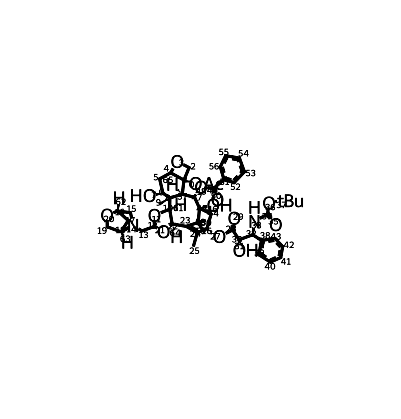 CC(=O)O[C@@]12COC1C[C@H](O)[C@@]1(C)[C@@H]3OC(CN4C[C@@H]5C[C@H]4CO5)O[C@@H]3C3=C(C)[C@@H](OC(=O)[C@H](O)[C@@H](NC(=O)OC(C)(C)C)c4ccccc4)C[C@@](O)([C@@H](OC(=O)c4ccccc4)[C@@H]12)C3(C)C